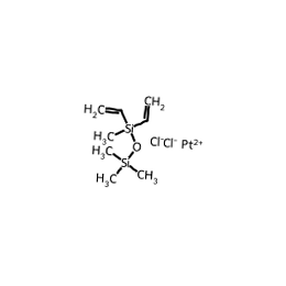 C=C[Si](C)(C=C)O[Si](C)(C)C.[Cl-].[Cl-].[Pt+2]